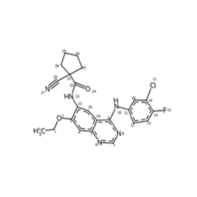 CCOc1cc2ncnc(Nc3ccc(F)c(Cl)c3)c2cc1NC(=O)C1(C#N)CCCC1